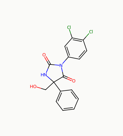 O=C1NC(CO)(c2ccccc2)C(=O)N1c1ccc(Cl)c(Cl)c1